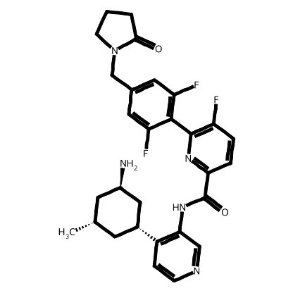 C[C@@H]1C[C@@H](N)C[C@H](c2ccncc2NC(=O)c2ccc(F)c(-c3c(F)cc(CN4CCCC4=O)cc3F)n2)C1